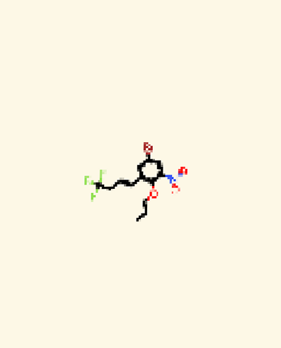 CCCOc1c(C=CCC(F)(F)F)cc(Br)cc1[N+](=O)[O-]